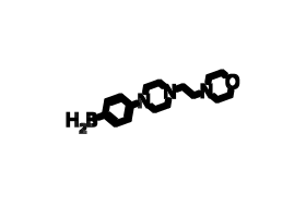 Bc1ccc(N2CCN(CCN3CCOCC3)CC2)cc1